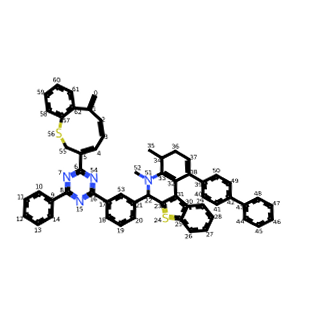 C=C1/C=C\C=C(\c2nc(-c3ccccc3)nc(-c3cccc(C4c5sc6ccccc6c5C5=C(C(C)CC=C5c5ccc(-c6ccccc6)cc5)N4C)c3)n2)CSc2ccccc21